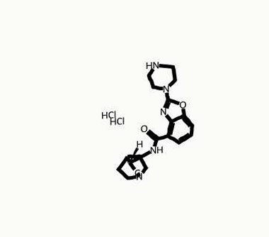 Cl.Cl.O=C(N[C@@H]1CN2CCC1CC2)c1cccc2oc(N3CCNCC3)nc12